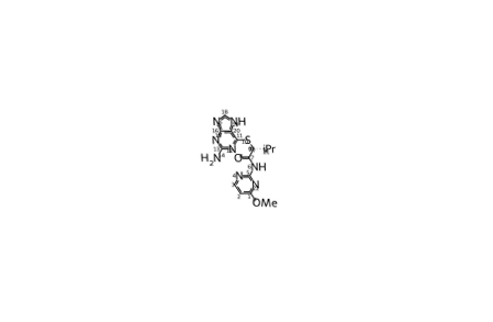 COc1ccnc(NC(=O)[C@H](Sc2nc(N)nc3nc[nH]c23)C(C)C)n1